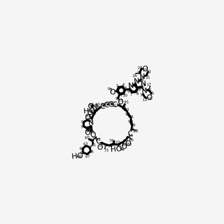 COc1ccc(-c2ccc3c(N4CCOC[C@@H]4C)nc(N4CCOC[C@@H]4C)nc3n2)cc1CO[C@H]1CCCC[C@@H](C)[C@@](O)(N=O)C(=O)C(=O)N2CCCC[C@H]2C(=O)O[C@H](C(C)C[C@H]2CC[C@@H](O)CC2)CC(=O)[C@H](C)/C=C(\C)[C@@H](O)[C@@H](OC)C(=O)[C@H](C)C[C@H](C)/C=C/C=C/C=C\1C